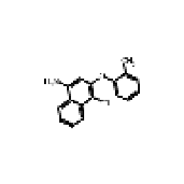 Cc1ccccc1Oc1cc(N)c2ccccc2c1Cl